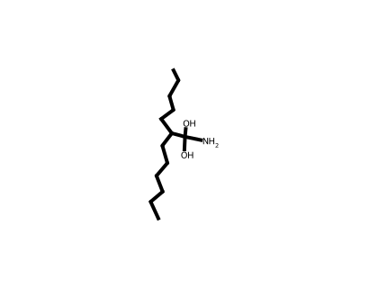 CCCCCCC(CCCCC)C(N)(O)O